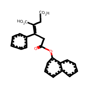 O=C(O)CC(C(=O)O)=C(CC(=O)Oc1cccc2ccccc12)c1ccccc1